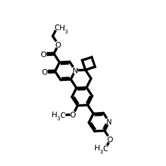 CCOC(=O)c1cn2c(cc1=O)-c1cc(OC)c(-c3ccc(OC)nc3)cc1CC21CCC1